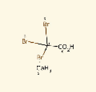 O=C(O)C(Br)(Br)Br.[GaH3]